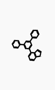 [CH]1C=Cc2c1cccc2-c1cc(-c2ccccc2)cc(-c2ccccc2)c1